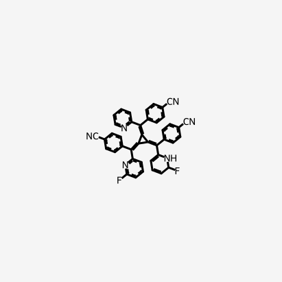 N#Cc1ccc(C(C2=CC=CC(F)N2)=C2C(=C(\c3ccc(C#N)cc3)c3ccccn3)/C2=C(\c2ccc(C#N)cc2)c2cccc(F)n2)cc1